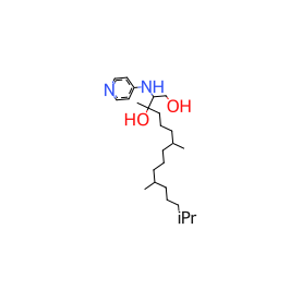 CC(C)CCCC(C)CCCC(C)CCCC(C)(O)C(CO)Nc1ccncc1